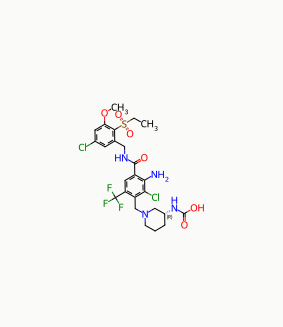 CCS(=O)(=O)c1c(CNC(=O)c2cc(C(F)(F)F)c(CN3CCC[C@@H](NC(=O)O)C3)c(Cl)c2N)cc(Cl)cc1OC